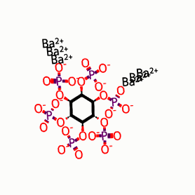 O=P([O-])([O-])O[C@H]1[C@H](OP(=O)([O-])[O-])[C@@H](OP(=O)([O-])[O-])[C@H](OP(=O)([O-])[O-])[C@@H](OP(=O)([O-])[O-])[C@H]1OP(=O)([O-])[O-].[Ba+2].[Ba+2].[Ba+2].[Ba+2].[Ba+2].[Ba+2]